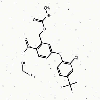 CCO.CNC(=O)OCc1cc(Oc2ccc(C(F)(F)F)cc2Cl)ccc1[N+](=O)[O-]